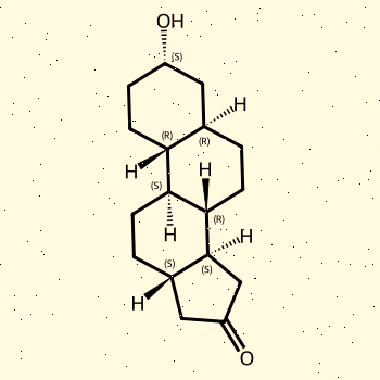 O=C1C[C@@H]2CC[C@@H]3[C@H](CC[C@@H]4C[C@@H](O)CC[C@H]43)[C@H]2C1